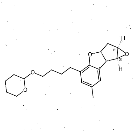 Cc1cc(CCCCOC2CCCCO2)c2c(c1)C1C(C[C@H]3O[C@@H]13)O2